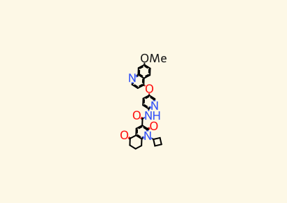 COc1ccc2c(Oc3ccc(NC(=O)c4cc5c(n(C6CCC6)c4=O)CCCC5=O)nc3)ccnc2c1